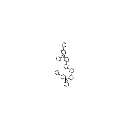 c1ccc(-c2ccc(N(c3ccccc3)c3cccc(-c4cccc(-c5cccc(-c6cccc(N(c7ccccc7)c7ccc(-c8ccccc8)cc7)c6)c5)c4)c3)cc2)cc1